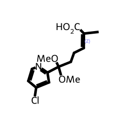 COC(CC/C=C(/C)C(=O)O)(OC)c1cc(Cl)ccn1